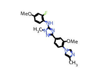 COc1ccc(Nc2nc(-c3ccc(-n4cnc(C)c4)c(OC)c3)nn2C)c(F)c1